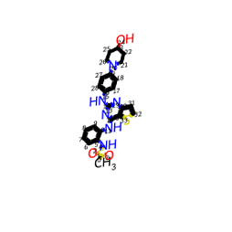 CS(=O)(=O)Nc1ccccc1Nc1nc(Nc2ccc(N3CCC(O)CC3)cc2)nc2ccsc12